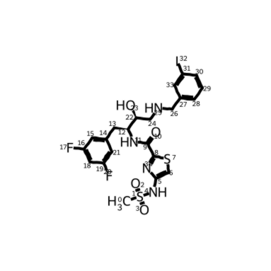 CS(=O)(=O)Nc1csc(C(=O)N[C@@H](Cc2cc(F)cc(F)c2)[C@@H](O)CNCc2cccc(I)c2)n1